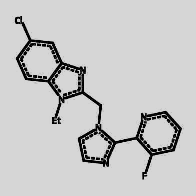 CCn1c(Cn2ccnc2-c2ncccc2F)nc2cc(Cl)ccc21